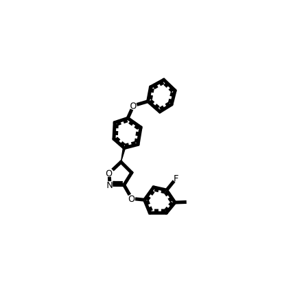 Cc1ccc(OC2=NO[C@@H](c3ccc(Oc4ccccc4)cc3)C2)cc1F